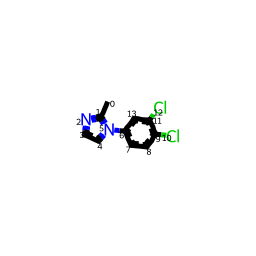 Cc1nccn1-c1ccc(Cl)c(Cl)c1